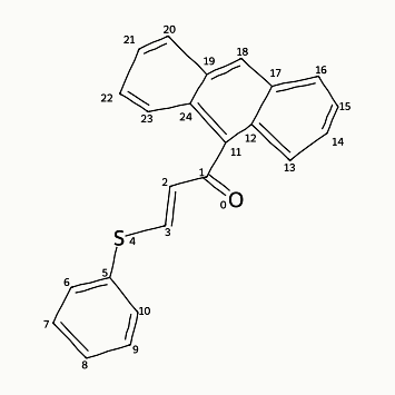 O=C(/C=C/Sc1ccccc1)c1c2ccccc2cc2ccccc12